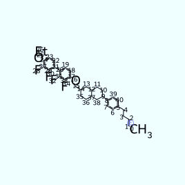 C/C=C/CCc1ccc(C2CCC3CC(COc4ccc(-c5ccc(OCC)c(F)c5F)c(F)c4F)CCC3C2)cc1